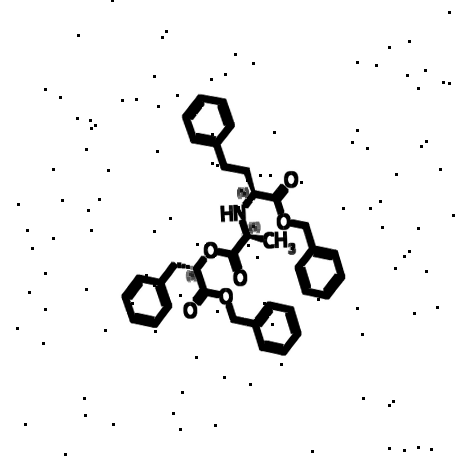 C[C@H](N[C@@H](CCc1ccccc1)C(=O)OCc1ccccc1)C(=O)O[C@@H](Cc1ccccc1)C(=O)OCc1ccccc1